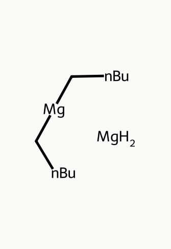 CCCC[CH2][Mg][CH2]CCCC.[MgH2]